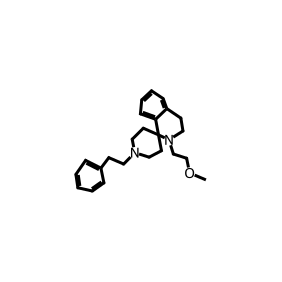 COCCN1CCc2ccccc2C12CCN(CCc1ccccc1)CC2